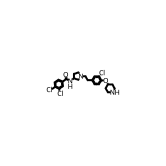 O=C(NC1CCN(CCc2ccc(OC3CCNCC3)c(Cl)c2)C1)c1ccc(Cl)c(Cl)c1